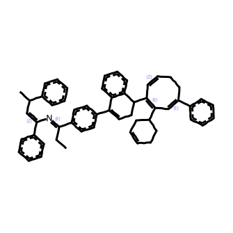 CC/C(=N\C(=C/C(C)c1ccccc1)c1ccccc1)c1ccc(C2=CCC(C3=C(C4CC=CCC4)/C=C(/c4ccccc4)CC/C=C\3)c3ccccc32)cc1